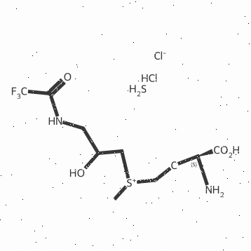 C[S+](CC[C@H](N)C(=O)O)CC(O)CNC(=O)C(F)(F)F.Cl.S.[Cl-]